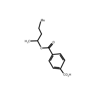 CCC(C)CCC(C)OC(=O)c1ccc(C(=O)O)cc1